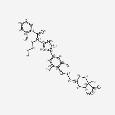 CCCCN(C(=O)c1ccccc1F)c1nnc(-c2cc(C)c(OCCN3CCC(C)(C(=O)O)CC3)c(C)c2)s1